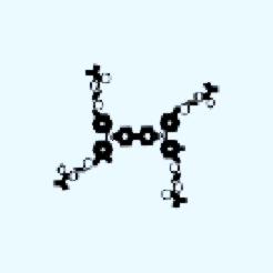 C=C(C)C(=O)OCCOCc1ccc(N(c2ccc(-c3ccc(N(c4ccc(COCCOC(=O)C(=C)C)cc4)c4ccc(COCCOC(=O)C(=C)C)c(C)c4)cc3)cc2)c2ccc(COCCOC(=O)C(=C)C)c(C)c2)cc1